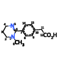 CN1CCCN=C1c1ccc(CC(=O)O)cc1